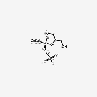 O=P([O-])([O-])OC(CO)CO.O=S(=O)([O-])[O-].[Ca+2].[Zn+2]